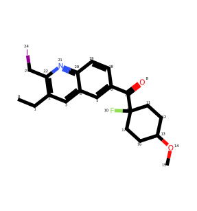 CCc1cc2cc(C(=O)C3(F)CCC(OC)CC3)ccc2nc1CI